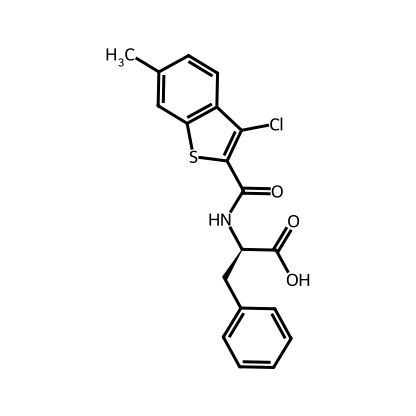 Cc1ccc2c(Cl)c(C(=O)N[C@H](Cc3ccccc3)C(=O)O)sc2c1